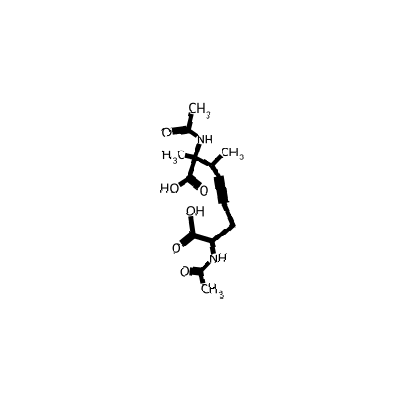 CC(=O)NC(CC#CC(C)C(C)(NC(C)=O)C(=O)O)C(=O)O